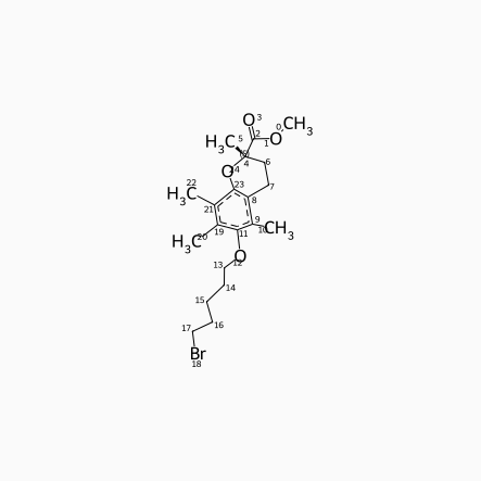 COC(=O)[C@]1(C)CCc2c(C)c(OCCCCCBr)c(C)c(C)c2O1